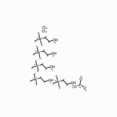 C[N+](C)(C)CCO.C[N+](C)(C)CCO.C[N+](C)(C)CCO.C[N+](C)(C)CCO.C[N+](C)(C)CCO.[Cl-].[Cl-].[O-]P([O-])[O-]